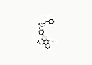 CCC(C)Oc1c2c(c(OC3CC3)c3cccnc13)C(=O)N(c1ccc(CS(=O)(=O)NC(=O)Cc3ccccc3OC)cc1C)C2